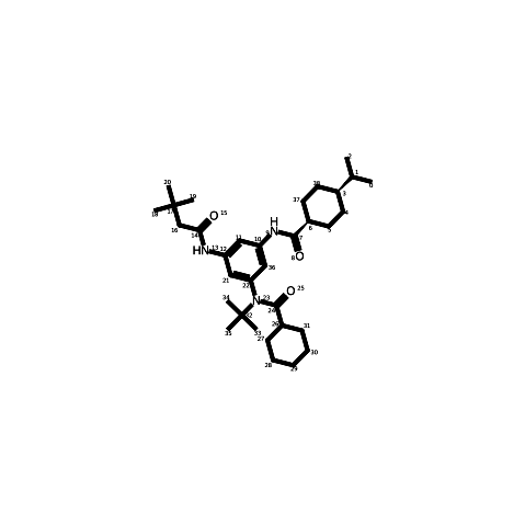 CC(C)[C@H]1CC[C@@H](C(=O)Nc2cc(NC(=O)CC(C)(C)C)cc(N(C(=O)C3CCCCC3)C(C)(C)C)c2)CC1